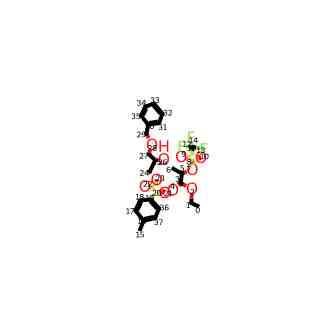 CCOC(=O)C(C)OS(=O)(=O)C(F)(F)F.Cc1ccc(S(=O)(=O)OCC(O)COCc2ccccc2)cc1